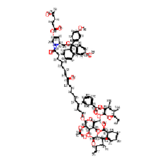 CCC1OC(OCC2OC(OCCCCCCCCC(=O)CCCCCCC(=O)N3C[C@H](OC(=O)CCC(C)=O)C[C@H]3COC(c3ccccc3)(c3ccc(OC)cc3)c3ccc(OC)cc3)C(OC(C)=O)C(OC3OC(CC)C(C)C(C)C3OC(=O)c3ccccc3)C2C)C(OC(=O)c2ccccc2)C(C)C1C